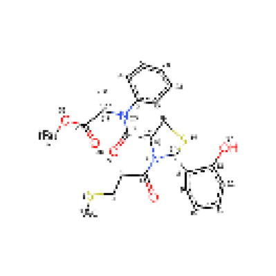 CC(=O)SCCC(=O)N1[C@@H](c2ccccc2O)SC[C@H]1C(=O)N(c1ccccc1)[C@@H](C)C(=O)OC(C)(C)C